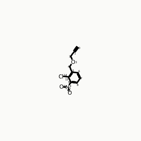 C#CCOCc1cccc([N+](=O)[O-])c1Cl